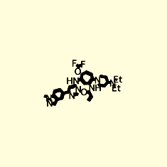 C=CC(=O)NC1=C(N2CCC(N(CC)CC)CC2)C=CC(OC(F)F)C(Nc2cc(-c3ccc4c(cnn4C)c3)ncn2)=C1